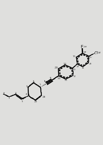 CCC=C[C@H]1CC[C@H](C#Cc2ccc(-c3ccc(Cl)c(F)c3)cc2)CC1